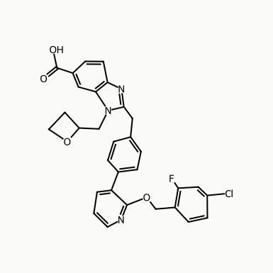 O=C(O)c1ccc2nc(Cc3ccc(-c4cccnc4OCc4ccc(Cl)cc4F)cc3)n(CC3CCO3)c2c1